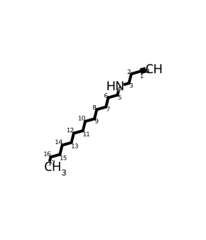 C#CCCNCCCCCCCCCCCCC